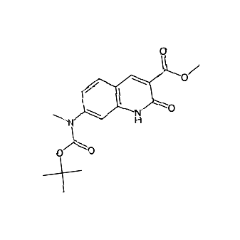 COC(=O)c1cc2ccc(N(C)C(=O)OC(C)(C)C)cc2[nH]c1=O